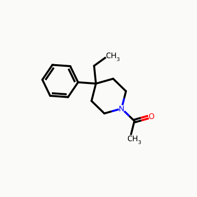 CCC1(c2ccccc2)CCN(C(C)=O)CC1